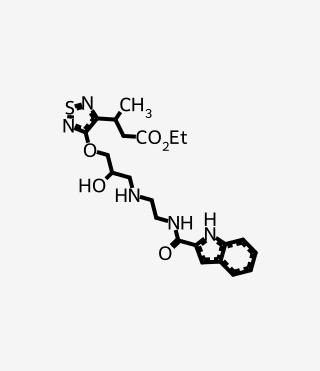 CCOC(=O)CC(C)c1nsnc1OCC(O)CNCCNC(=O)c1cc2ccccc2[nH]1